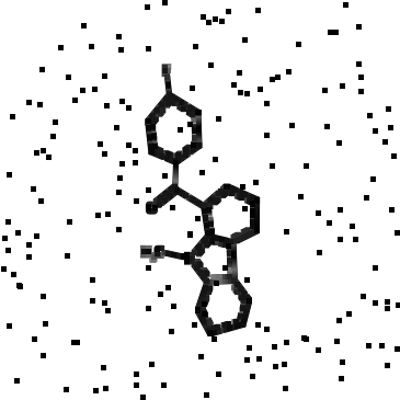 Cn1c2ccccc2c2cccc(C(=O)c3ccc(F)cc3)c21